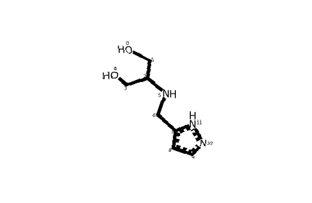 OCC(CO)NCc1ccn[nH]1